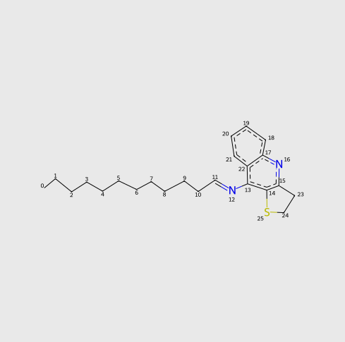 CCCCCCCCCCCC=Nc1c2c(nc3ccccc13)CCS2